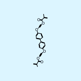 C=C(C)C(=O)OC#COc1ccc(-c2ccc(OC#COC(=O)C(=C)C)cc2)cc1